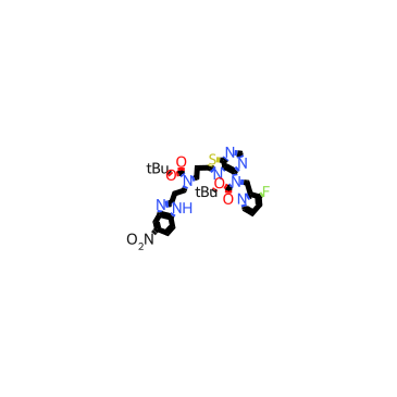 CC(C)(C)OC(=O)N(CCc1nc2cc([N+](=O)[O-])ccc2[nH]1)CCc1nc2c(N(Cc3ncccc3F)C(=O)OC(C)(C)C)ncnc2s1